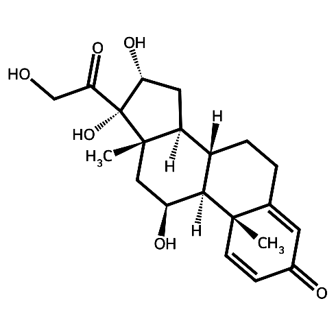 C[C@]12C=CC(=O)C=C1CC[C@@H]1[C@@H]2[C@@H](O)C[C@@]2(C)[C@H]1C[C@@H](O)[C@]2(O)C(=O)CO